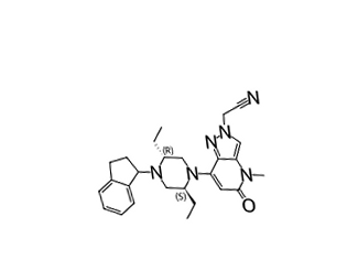 CC[C@H]1CN(C2CCc3ccccc32)[C@H](CC)CN1c1cc(=O)n(C)c2cn(CC#N)nc12